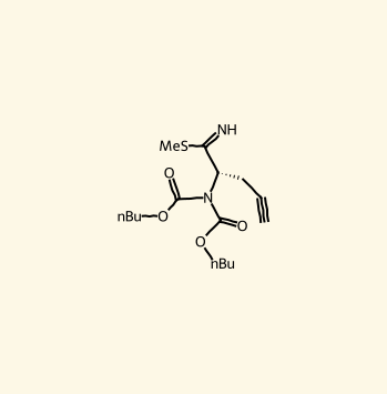 C#CC[C@@H](C(=N)SC)N(C(=O)OCCCC)C(=O)OCCCC